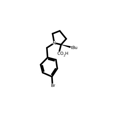 CC(C)(C)[C@]1(C(=O)O)CCCN1Cc1ccc(Br)cc1